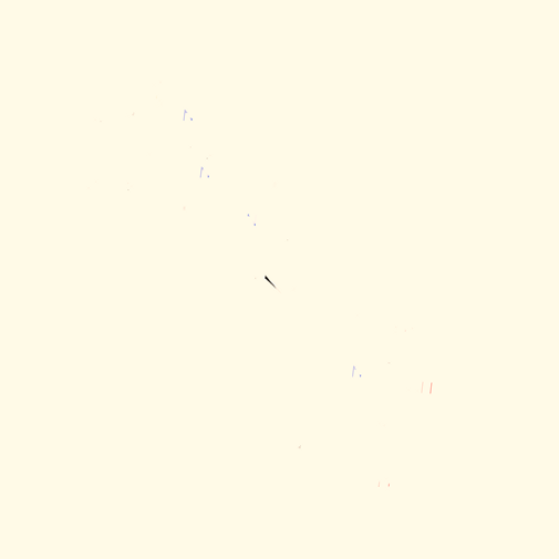 COc1cccc(N(C(=O)O)[C@H]2CC[C@H](CCN3CCN(c4nsc5ccccc45)CC3)CC2)c1